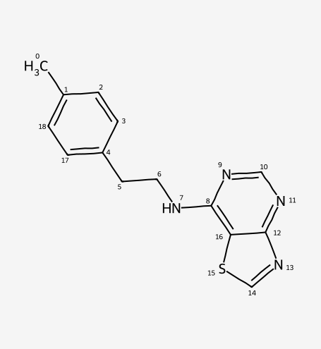 Cc1ccc(CCNc2ncnc3ncsc23)cc1